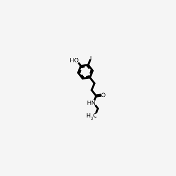 CCNC(=O)CCc1ccc(O)c(I)c1